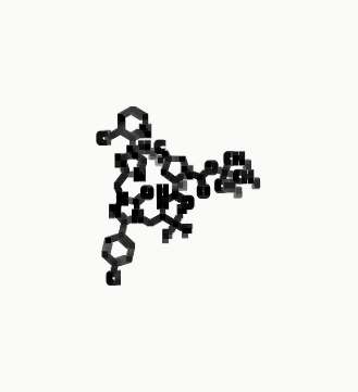 C[C@@H]1C[C@H](C(=O)NC(Cn2c(-c3ccc(Cl)cc3)nn(Cc3ncn(-c4ncccc4Cl)n3)c2=O)C(F)(F)F)N(C(=O)OC(C)(C)C)C1